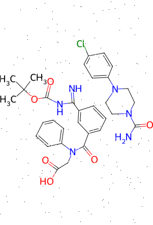 CC(C)(C)OC(=O)NC(=N)c1cccc(C(=O)N(CC(=O)O)c2ccccc2)c1.NC(=O)N1CCN(c2ccc(Cl)cc2)CC1